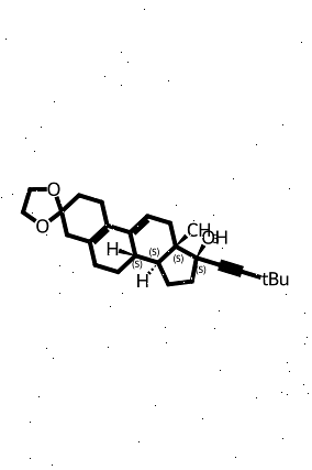 CC(C)(C)C#C[C@]1(O)CC[C@H]2[C@@H]3CCC4=C(CCC5(C4)OCCO5)C3=CC[C@@]21C